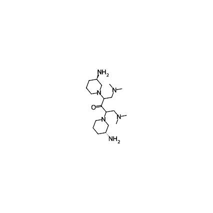 CN(C)CC(C(=O)C(CN(C)C)N1CCC[C@@H](N)C1)N1CCC[C@@H](N)C1